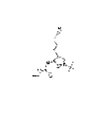 CCOC(=O)/N=c1\sn(C(C)(C)C)cc1CCCC#N